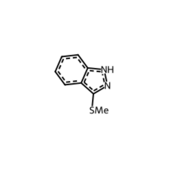 CSc1n[nH]c2ccccc12